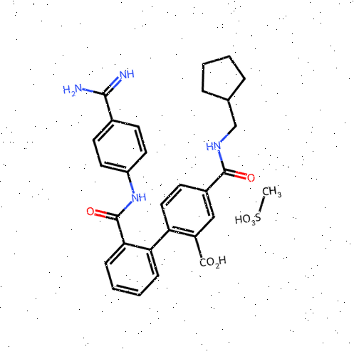 CS(=O)(=O)O.N=C(N)c1ccc(NC(=O)c2ccccc2-c2ccc(C(=O)NCC3CCCC3)cc2C(=O)O)cc1